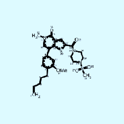 C=CCCCc1ccc(-c2cn(C)c(=O)c3cc(C(=O)N4CCN(S(C)(=O)=O)CC4)sc23)cc1OC